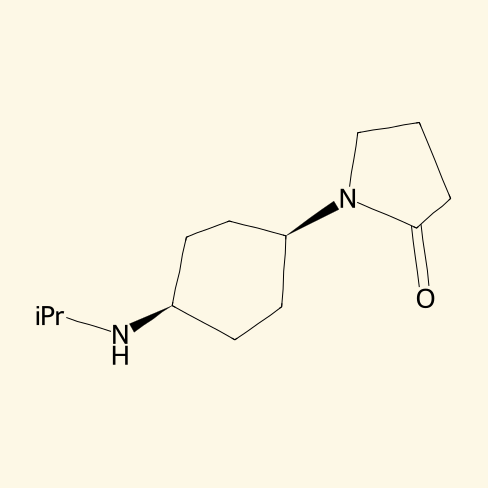 CC(C)N[C@H]1CC[C@@H](N2CCCC2=O)CC1